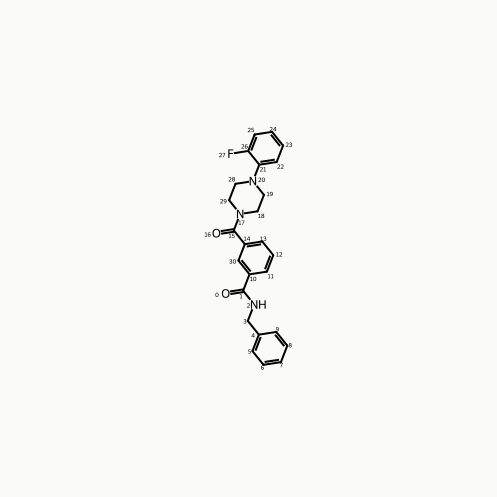 O=C(NCc1ccccc1)c1cccc(C(=O)N2CCN(c3ccccc3F)CC2)c1